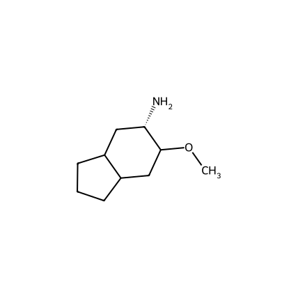 COC1CC2CCCC2C[C@@H]1N